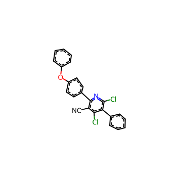 N#Cc1c(-c2ccc(Oc3ccccc3)cc2)nc(Cl)c(-c2ccccc2)c1Cl